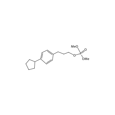 COP(=O)(OC)OCCCc1ccc(C2CCCC2)cc1